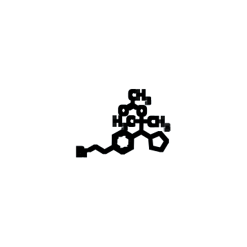 CC(=O)OC(C)(C)C(c1ccc(CCBr)cc1)C1CCCC1